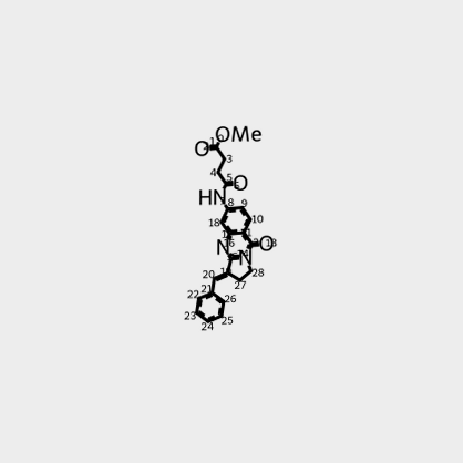 COC(=O)CCC(=O)Nc1ccc2c(=O)n3c(nc2c1)C(=Cc1ccccc1)CC3